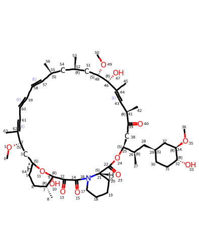 CO[C@H]1C[C@@H]2CC[C@@H](C)[C@@](O)(O2)C(=O)C(=O)N2CCCC[C@H]2C(=O)O[C@H]([C@H](C)C[C@@H]2CC[C@@H](O)[C@H](OC)C2)CC(=O)[C@H](C)/C=C(\C)[C@@H](O)[C@@H](OC)C[C@H](C)C[C@H](C)/C=C/C=C/C=C/1C